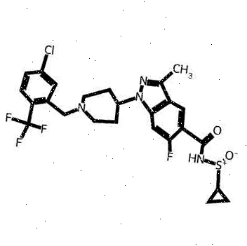 Cc1nn(C2CCN(Cc3cc(Cl)ccc3C(F)(F)F)CC2)c2cc(F)c(C(=O)N[S+]([O-])C3CC3)cc12